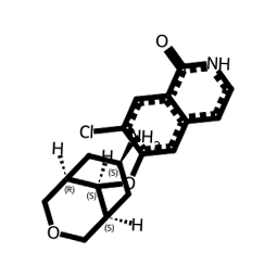 N[C@H]1C[C@H]2COC[C@@H](C1)[C@H]2Oc1cc2cc[nH]c(=O)c2cc1Cl